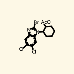 CC(=O)OC1CCCCC1n1c(Br)nc2cc(Cl)c(Cl)cc21